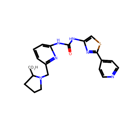 O=C(Nc1cccc(CN2CCCC2C(=O)O)n1)Nc1csc(-c2ccncc2)n1